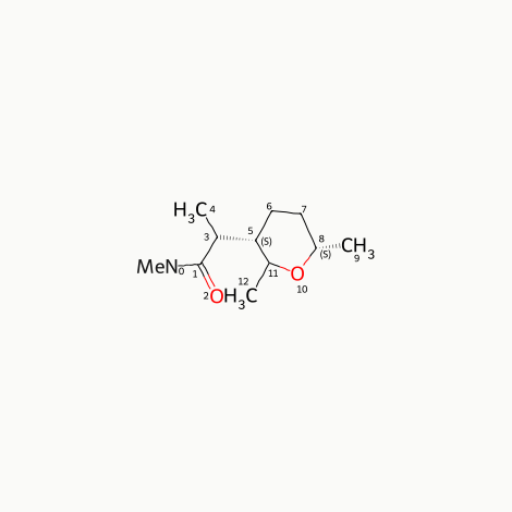 CNC(=O)C(C)[C@@H]1CC[C@H](C)OC1C